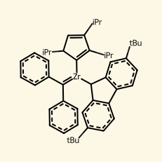 CC(C)C1=CC(C(C)C)[C]([Zr](=[C](c2ccccc2)c2ccccc2)[CH]2c3cc(C(C)(C)C)ccc3-c3ccc(C(C)(C)C)cc32)=C1C(C)C